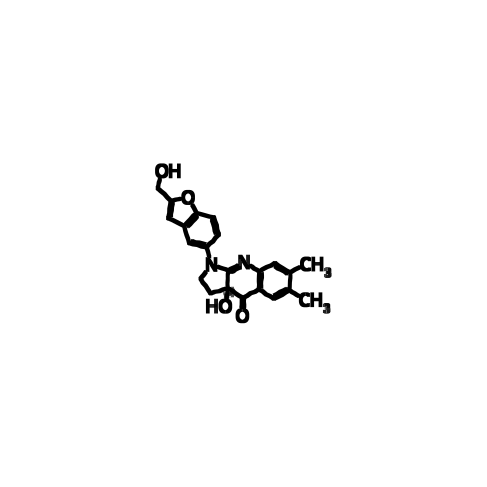 Cc1cc2c(cc1C)C(=O)[C@]1(O)CCN(c3ccc4oc(CO)cc4c3)C1=N2